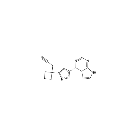 N#CCC1(n2cc([C@@H]3N=CN=C4NC=CC43)cn2)CCC1